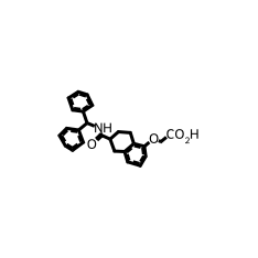 O=C(O)COc1cccc2c1CCC(C(=O)NC(c1ccccc1)c1ccccc1)C2